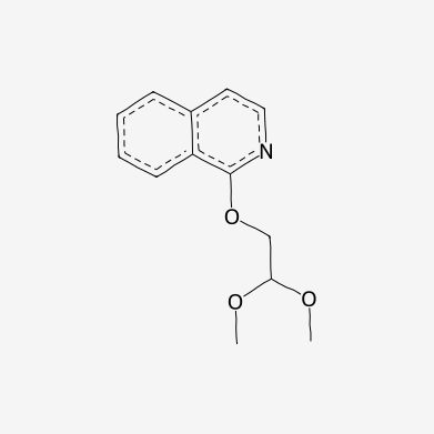 COC(COc1nccc2ccccc12)OC